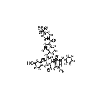 C=CCN1CC(=O)N2[C@@H](Cc3ccc(O)cc3)C(=O)N(Cc3cccc4c(C(=O)N5CCN(S(=O)(=O)CC)CC5)cn(C)c34)C[C@@H]2N1C(=O)NCc1ccccc1